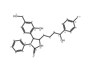 OCc1ccc(C2C(CCCC(O)c3ccc(F)cc3)NC(=S)N2c2ccccc2)c(O)c1